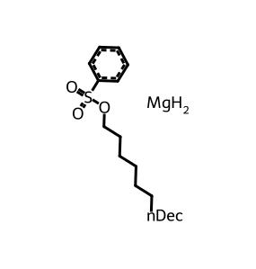 CCCCCCCCCCCCCCCCOS(=O)(=O)c1ccccc1.[MgH2]